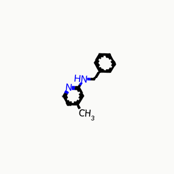 Cc1ccnc(NCc2ccccc2)c1